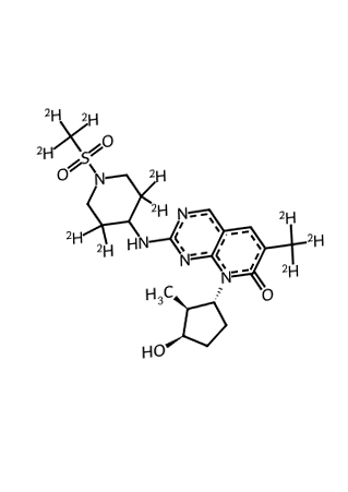 [2H]C([2H])([2H])c1cc2cnc(NC3C([2H])([2H])CN(S(=O)(=O)C([2H])([2H])[2H])CC3([2H])[2H])nc2n([C@@H]2CC[C@@H](O)[C@H]2C)c1=O